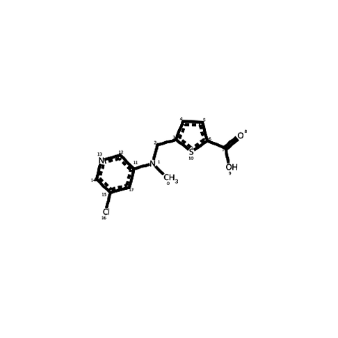 CN(Cc1ccc(C(=O)O)s1)c1cncc(Cl)c1